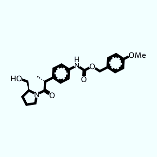 COc1ccc(COC(=O)Nc2ccc([C@@H](C)C(=O)N3CCC[C@H]3CO)cc2)cc1